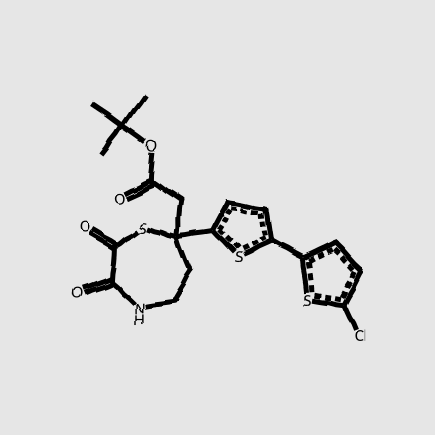 CC(C)(C)OC(=O)CC1(c2ccc(-c3ccc(Cl)s3)s2)CCNC(=O)C(=O)S1